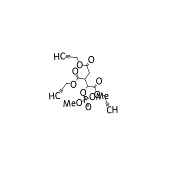 C#CCOC(=O)CC(C(=O)OCC#C)C(OP(=O)(OC)OC)C(=O)OCC#C